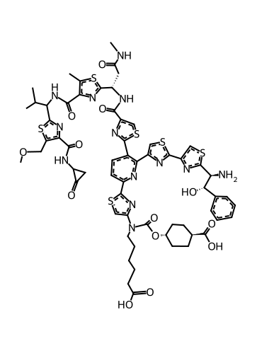 CNC(=O)C[C@H](NC(=O)c1csc(-c2ccc(-c3nc(N(CCCCCC(=O)O)C(=O)O[C@H]4CC[C@H](C(=O)O)CC4)cs3)nc2-c2csc(-c3csc([C@@H](N)[C@@H](O)c4ccccc4)n3)n2)n1)c1nc(C(=O)NC(c2nc(C(=O)NC3CC3=O)c(COC)s2)C(C)C)c(C)s1